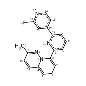 CC1=NN2C(=CCC=C2c2cccc(-c3ccnc(F)c3)n2)C=C1